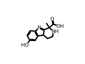 CC1(C(=O)O)NCCC2C1=Nc1ccc(O)cc12